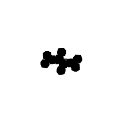 c1ccc(-c2cc(-c3ccc4c(c3)c3ccccc3n4-c3ccccc3)nc(-c3cc(-c4ccccc4)cc(-c4ccc5c(c4)c4ccccc4n5-c4ccccc4)n3)c2)cc1